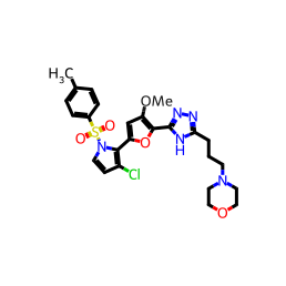 COc1cc(-c2c(Cl)ccn2S(=O)(=O)c2ccc(C)cc2)oc1-c1nnc(CCCN2CCOCC2)[nH]1